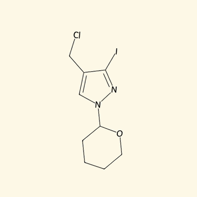 ClCc1cn(C2CCCCO2)nc1I